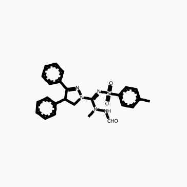 Cc1ccc(S(=O)(=O)/N=C(/N2CC(c3ccccc3)C(c3ccccc3)=N2)N(C)NC=O)cc1